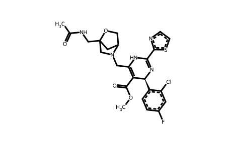 COC(=O)C1=C(CN2CC3(CNC(C)=O)CC2CO3)NC(c2nccs2)=N[C@H]1c1ccc(F)cc1Cl